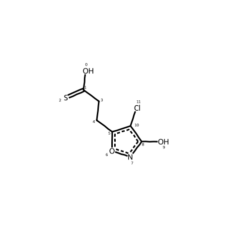 OC(=S)CCc1onc(O)c1Cl